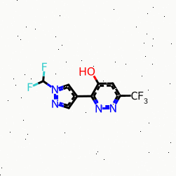 Oc1cc(C(F)(F)F)nnc1-c1cnn(C(F)F)c1